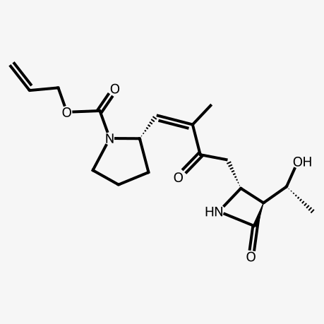 C=CCOC(=O)N1CCC[C@H]1C=C(C)C(=O)C[C@H]1NC(=O)[C@@H]1[C@@H](C)O